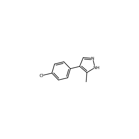 Cc1[nH]ncc1-c1ccc(Cl)cc1